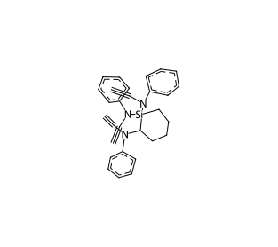 C#CN(c1ccccc1)C1CCCC[Si]1(N(C#C)c1ccccc1)N(C#C)c1ccccc1